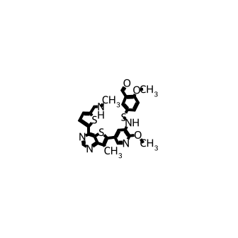 CNCc1ccc(-c2ncnc3c(C)c(-c4cnc(OC)c(NSc5ccc(OC)c(C=O)c5)c4)sc23)s1